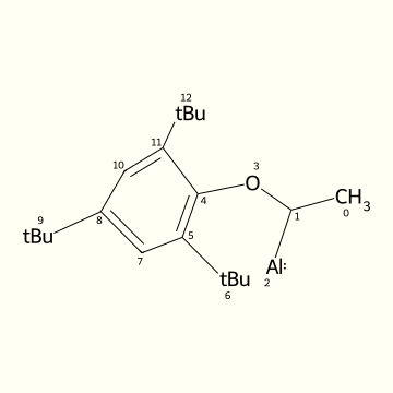 C[CH]([Al])Oc1c(C(C)(C)C)cc(C(C)(C)C)cc1C(C)(C)C